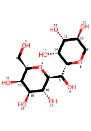 OC[C@H]1O[C@@H](C(O)[C@H]2O[CH][C@H](O)[C@@H](O)[C@H]2O)[C@H](O)[C@@H](O)[C@H]1O